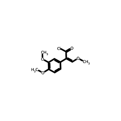 COC=C(C(=O)Cl)c1ccc(OC)c(OC)c1